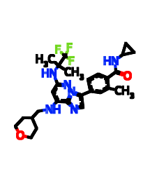 Cc1cc(-c2cnc3c(NCC4CCOCC4)cc(NC(C)(C)C(F)(F)F)nn23)ccc1C(=O)NC1CC1